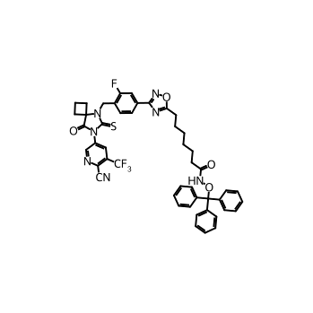 N#Cc1ncc(N2C(=O)C3(CCC3)N(Cc3ccc(-c4noc(CCCCCCC(=O)NOC(c5ccccc5)(c5ccccc5)c5ccccc5)n4)cc3F)C2=S)cc1C(F)(F)F